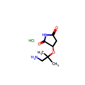 CC(C)(CN)O[C@@H]1CC(=O)NC1=O.Cl